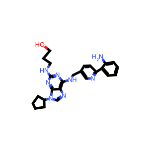 Nc1ccccc1-c1ccc(CNc2nc(NCCCO)nc3c2ncn3C2CCCC2)cn1